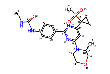 CC(C)NC(=O)Nc1ccc(-c2nc(N3CCOC[C@@H]3C)cc(C3(S(C)(=O)=O)CC3)n2)cc1